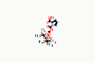 CC(C)(C)OP(=O)(OCOC(=O)N1CCC[C@H]1C(=O)O)OC(C)(C)C